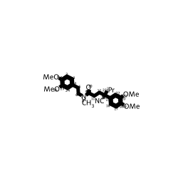 COc1ccc(CCN(C)C(=O)CC[C@@](C#N)(c2ccc(OC)c(OC)c2)C(C)C)cc1OC